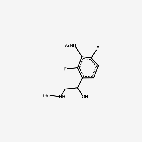 CC(=O)Nc1c(F)ccc(C(O)CNC(C)(C)C)c1F